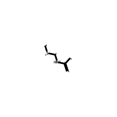 C=C(C)NCSC